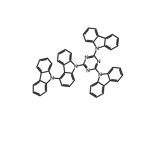 c1ccc2c(c1)c1ccccc1n2-c1nc(-n2c3ccccc3c3ccccc32)nc(-n2c3ccccc3c3c(-n4c5ccccc5c5ccccc54)cccc32)n1